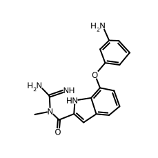 CN(C(=N)N)C(=O)c1cc2cccc(Oc3cccc(N)c3)c2[nH]1